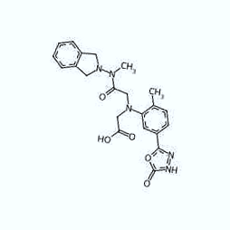 Cc1ccc(-c2n[nH]c(=O)o2)cc1N(CC(=O)O)CC(=O)N(C)N1Cc2ccccc2C1